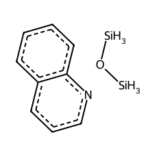 [SiH3]O[SiH3].c1ccc2ncccc2c1